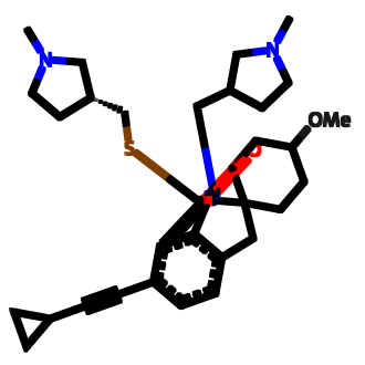 COC1CCC2(CC1)Cc1ccc(C#CC3CC3)cc1C21N=C(SC[C@@H]2CCN(C)C2)N(CC2CCN(C)C2)C1=O